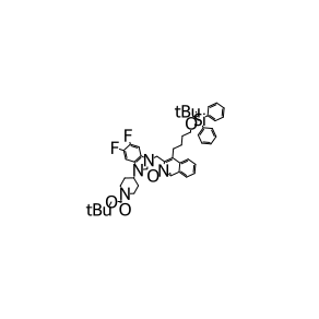 CC(C)(C)OC(=O)N1CCC(n2c(=O)n(Cc3ncc4ccccc4c3CCCCO[Si](c3ccccc3)(c3ccccc3)C(C)(C)C)c3cc(F)c(F)cc32)CC1